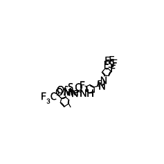 COC(c1ccc(C)cc1N1C(=O)CSC1=NC(=O)Nc1ccc(-c2cn(-c3ccc(S(F)(F)(F)(F)F)cc3)cn2)cc1F)C(F)(F)F